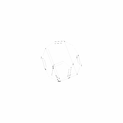 c1cc2ccc1-c1nc3cc4sc-2nc4cc3s1